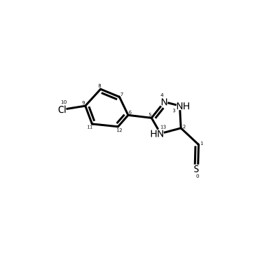 S=CC1NN=C(c2ccc(Cl)cc2)N1